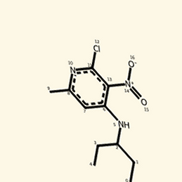 CCC(CC)Nc1cc(C)nc(Cl)c1[N+](=O)[O-]